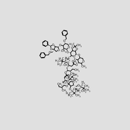 CC[C@H](C)[C@H](C[C@@H](CC(=O)O[C@H]1C(C)OCC(O[C@@H]2OC(C)[C@H](O[C@@H]3OC[C@@H](OCc4ccccc4)C(O[C@@H]4OC[C@@]5(COCc6ccccc6)O[C@@H](c6ccccc6)OC45)C3C)C3OC(C)(C)OC32)C1C)O[Si](C)(C)C(C)(C)C)OC(=O)C[C@H](C[C@H](OC1(C)CO[C@H](CO[Si](C)(C)C(C)(C)C)C1O[Si](C)(C)C(C)(C)C)[C@@H](C)CC)O[Si](C)(C)C(C)(C)C